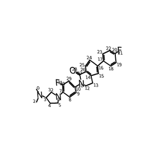 CN(C)[C@@H]1CCN(c2ccc(N3CCc4cc(-c5ccc(F)cc5)ccc4C3=O)cc2F)C1